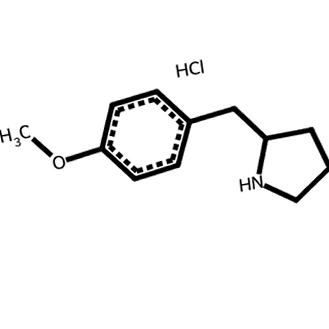 COc1ccc(CC2CCCN2)cc1.Cl